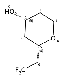 O[C@@H]1CCO[C@H](CC(F)(F)F)C1